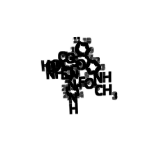 CC(=O)Nc1ccc(-c2ccccc2S(=O)(=O)c2nc(N3CCNCC3F)sc2C(=O)O)cc1.NO